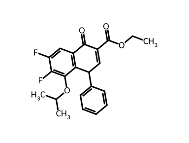 CCOC(=O)C1=CC(c2ccccc2)c2c(cc(F)c(F)c2OC(C)C)C1=O